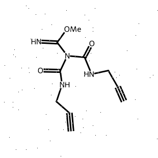 C#CCNC(=O)N(C(=N)OC)C(=O)NCC#C